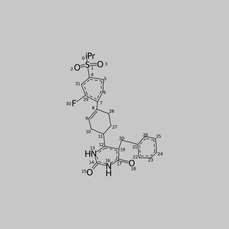 CC(C)S(=O)(=O)c1ccc(C2=CCC(c3[nH]c(=O)[nH]c(=O)c3Cc3ccccc3)CC2)c(F)c1